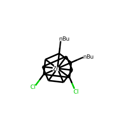 CCCC[C]12[CH]3[C]4(Cl)[C]5(Cl)[C]1(CCCC)[Zr]34251678[CH]2[CH]1[CH]6[CH]7[CH]28